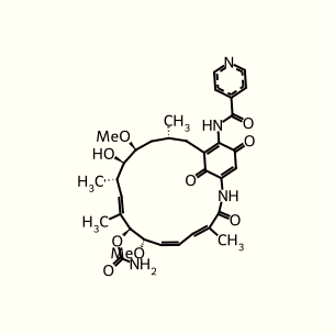 CO[C@H]1/C=C\C=C(/C)C(=O)NC2=CC(=O)C(NC(=O)c3ccncc3)=C(C[C@@H](C)C[C@H](OC)[C@H](O)[C@@H](C)/C=C(\C)[C@@H]1OC(N)=O)C2=O